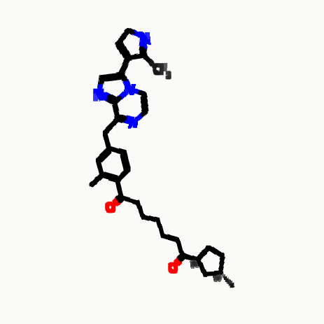 Cc1cc(Cc2nccn3c(C4=CCN=C4C(F)(F)F)cnc23)ccc1C(=O)CCCCCC(=O)[C@H]1CC[C@H](C)C1